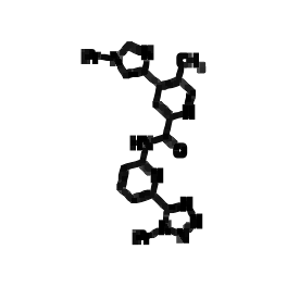 Cc1cnc(C(=O)Nc2cccc(-c3nnnn3C(C)C)n2)cc1-c1cn(C(C)C)cn1